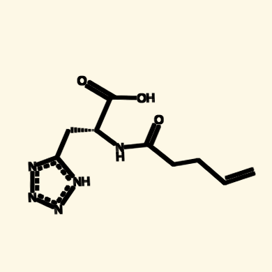 C=CCCC(=O)N[C@H](Cc1nnn[nH]1)C(=O)O